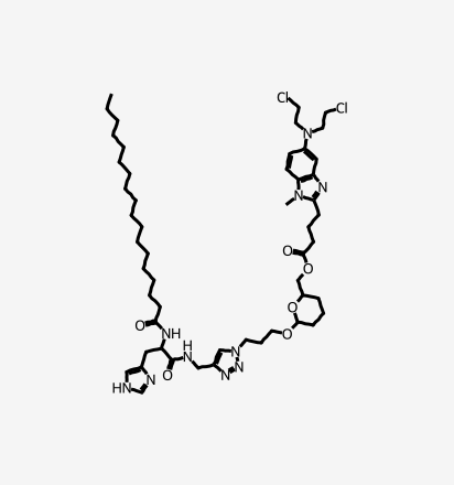 CCCCCCCCCCCCCCCCCC(=O)NC(Cc1c[nH]cn1)C(=O)NCc1cn(CCCOC2CCCC(COC(=O)CCCc3nc4cc(N(CCCl)CCCl)ccc4n3C)O2)nn1